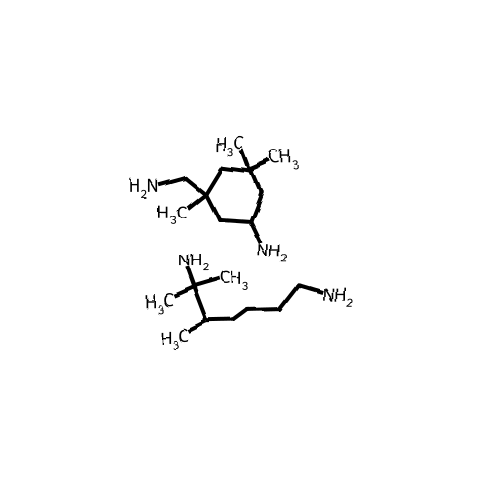 CC(CCCCN)C(C)(C)N.CC1(C)CC(N)CC(C)(CN)C1